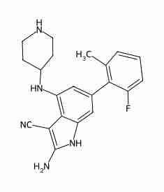 Cc1cccc(F)c1-c1cc(NC2CCNCC2)c2c(C#N)c(N)[nH]c2c1